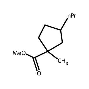 CCCC1CCC(C)(C(=O)OC)C1